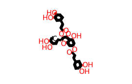 O=C(C=Cc1ccc(O)c(O)c1)Oc1cc(O)c2c(=O)c(OC(=O)C=Cc3ccc(O)c(O)c3)c(-c3ccc(O)c(O)c3)oc2c1